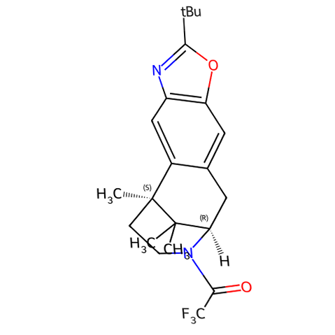 CC(C)(C)c1nc2cc3c(cc2o1)C[C@H]1N(C(=O)C(F)(F)F)CC[C@]3(C)C1(C)C